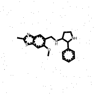 COc1cc2sc(C)nc2cc1CNC1CCNC1c1ccccc1